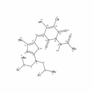 CCCCC(CC)CN(CC(CC)CCCC)c1nc(C(C)(C)C)c(/C=C2\C(=O)N(N(C)C(=O)C(C)(C)C)C(=O)C(C#N)=C2CCC)s1